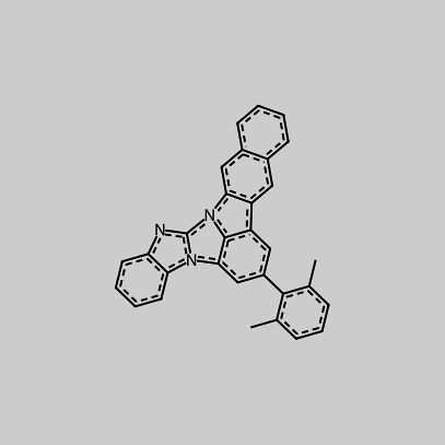 Cc1cccc(C)c1-c1cc2c3cc4ccccc4cc3n3c2c(c1)n1c2ccccc2nc13